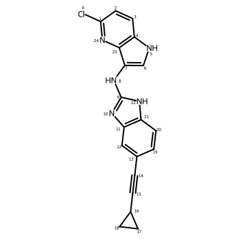 Clc1ccc2[nH]cc(Nc3nc4cc(C#CC5CC5)ccc4[nH]3)c2n1